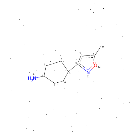 Cc1cc(C2CCC(N)CC2)no1